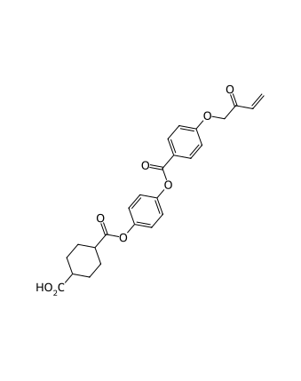 C=CC(=O)COc1ccc(C(=O)Oc2ccc(OC(=O)C3CCC(C(=O)O)CC3)cc2)cc1